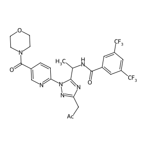 CC(=O)Cc1nc(C(C)NC(=O)c2cc(C(F)(F)F)cc(C(F)(F)F)c2)n(-c2ccc(C(=O)N3CCOCC3)cn2)n1